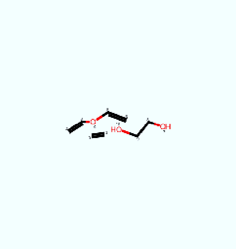 C=C.C=COC=C.OCCO